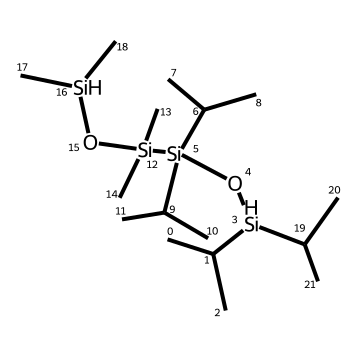 CC(C)[SiH](O[Si](C(C)C)(C(C)C)[Si](C)(C)O[SiH](C)C)C(C)C